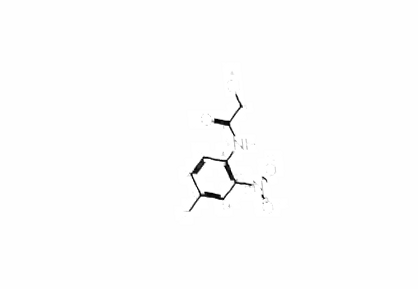 Cc1ccc(NC(=O)CCl)c([N+](=O)[O-])c1